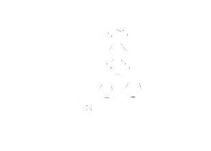 CN(C)Cc1ccc(-c2nc3cc4[nH]cnc4cc3nc2-c2ccccc2)cc1